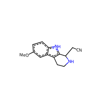 COc1ccc2[nH]c3c(c2c1)CCNC3CC#N